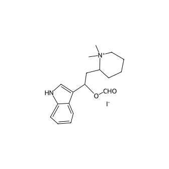 C[N+]1(C)CCCCC1CC(OC=O)c1c[nH]c2ccccc12.[I-]